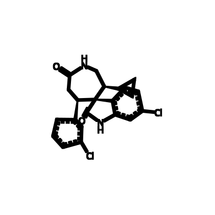 O=C1C[C@H](c2cccc(Cl)c2)[C@@]2(C(=O)Nc3cc(Cl)ccc32)[C@H](C2CC2)CN1